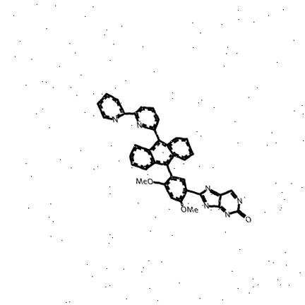 COc1cc(OC)c(-c2c3ccccc3c(-c3cccc(-c4ccccn4)n3)c3ccccc23)cc1C1=NC2=NC(=O)N=CC2=N1